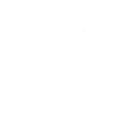 C=C1C(c2ccc(CCC)c(CCC)c2)=Cc2c(NCc3cc(N)cc(C(F)(F)F)c3)nc(C)nc2N1/C=C\C